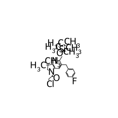 CC1(C)CN(C(=O)CCl)c2cc(Cc3ccc(F)cc3)c(CO[Si](C)(C)C(C)(C)C)nc21